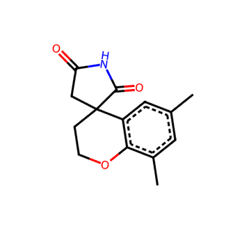 Cc1cc(C)c2c(c1)C1(CCO2)CC(=O)NC1=O